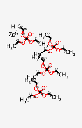 CCOC([O-])(OCC)OCC.CCOC([O-])(OCC)OCC.CCOC([O-])(OCC)OCC.CCOC([O-])(OCC)OCC.[Zr+4]